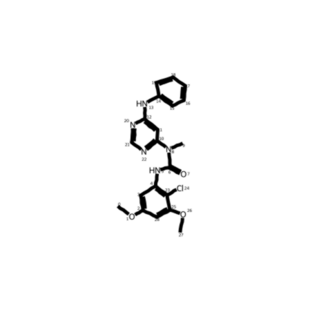 COc1cc(NC(=O)N(C)c2cc(Nc3ccccc3)ncn2)c(Cl)c(OC)c1